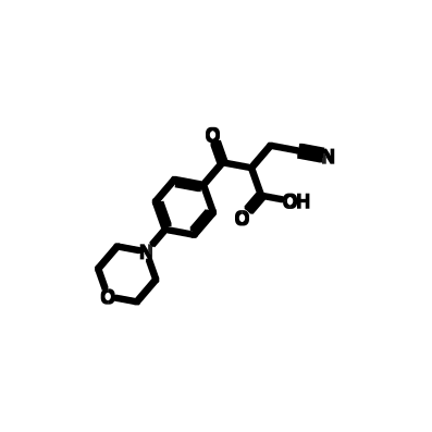 N#CCC(C(=O)O)C(=O)c1ccc(N2CCOCC2)cc1